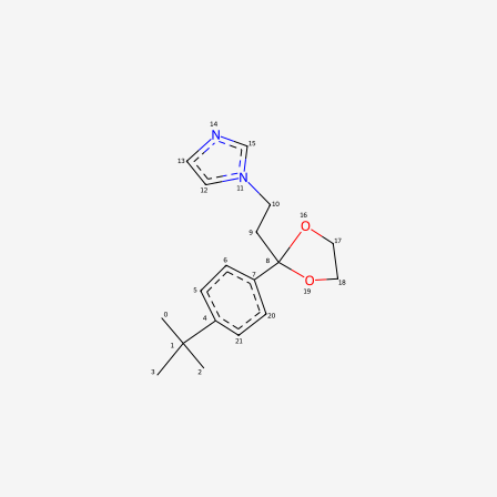 CC(C)(C)c1ccc(C2(CCn3ccnc3)OCCO2)cc1